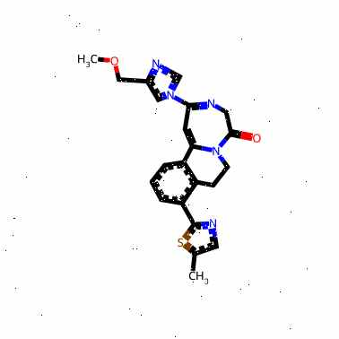 COCc1cn(C2=NCC(=O)N3CCc4c(cccc4-c4ncc(C)s4)C3=C2)cn1